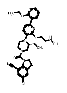 CCOc1ncccc1-c1ccc(N2CCN(C(=O)N3CCc4cc(Cl)cc(C#N)c43)C[C@H]2CC)c(OCCNC)n1